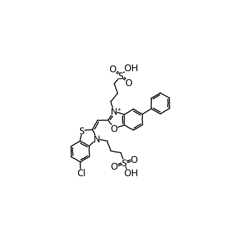 O=S(=O)(O)CCCN1C(=Cc2oc3ccc(-c4ccccc4)cc3[n+]2CCCS(=O)(=O)O)Sc2ccc(Cl)cc21